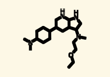 CCOCCN(C)C1CNC2NCC(C3CCC(N(C)C)CC3)CC21